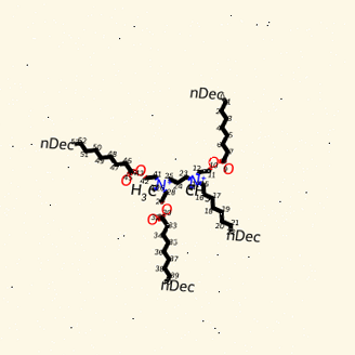 CCCCCCCCCCCCCCCCCC(=O)OCC[N+](C)(CCCCCCCCCCCCCCCCC)CCC[N+](C)(CCOC(=O)CCCCCCCCCCCCCCCCC)CCOC(=O)CCCCCCCCCCCCCCCCC